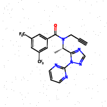 C#CCN(C(=O)c1cc(C(F)(F)F)cc(C(F)(F)F)c1)[C@@H](C)c1ncnn1-c1ncccn1